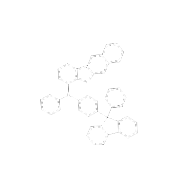 c1ccc(N(c2ccc(C3(c4ccccc4)c4ccccc4-c4ccccc43)cc2)c2cccc3c2oc2cc4ccccc4cc23)cc1